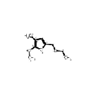 CCOCc1cc(C)c(OC)o1